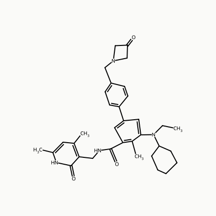 CCN(c1cc(-c2ccc(CN3CC(=O)C3)cc2)cc(C(=O)NCc2c(C)cc(C)[nH]c2=O)c1C)C1CCCCC1